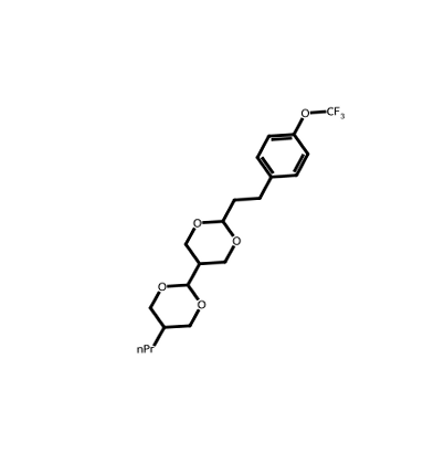 CCCC1COC(C2COC(CCc3ccc(OC(F)(F)F)cc3)OC2)OC1